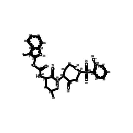 Cc1c(OC(=O)NC(CC(C)C)C(=O)N[C@H]2CCCN(S(=O)(=O)c3cccc[n+]3[O-])CC2=O)oc2ccccc12